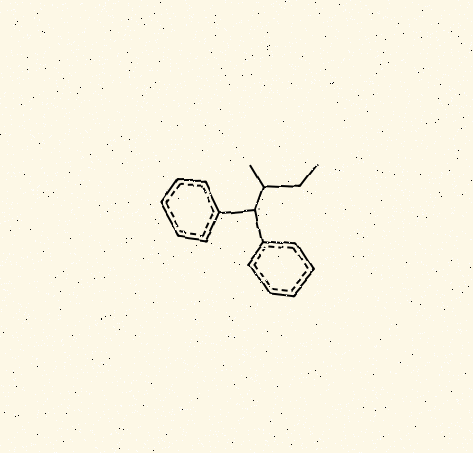 CCC(C)[C](c1ccccc1)c1ccccc1